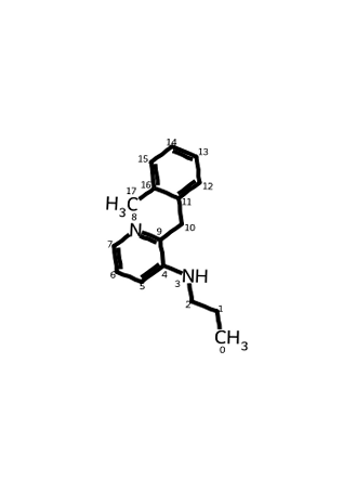 CCCNc1cccnc1Cc1ccccc1C